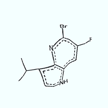 CC(C)c1c[nH]c2cc(F)c(Br)nc12